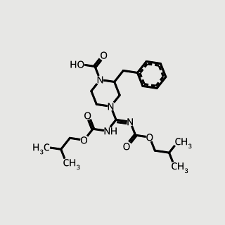 CC(C)COC(=O)N=C(NC(=O)OCC(C)C)N1CCN(C(=O)O)C(Cc2ccccc2)C1